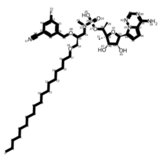 CCCCCCCCCCCCCCCCCCOC[C@H](CN(C)P(=O)(O)O[C@@H](C)[C@@]1(C)O[C@@H](c2ccc3c(N)ncnn23)[C@H](O)[C@@H]1O)OCc1cc(F)cc(C#N)c1